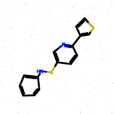 c1ccc(NSc2ccc(-c3ccsc3)nc2)cc1